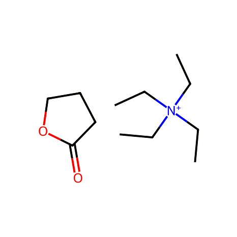 CC[N+](CC)(CC)CC.O=C1CCCO1